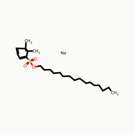 CCCCCCCCCCCCCCCCOS(=O)(=O)c1cccc(C)c1C.[Na]